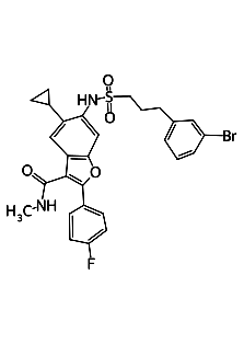 CNC(=O)c1c(-c2ccc(F)cc2)oc2cc(NS(=O)(=O)CCCc3cccc(Br)c3)c(C3CC3)cc12